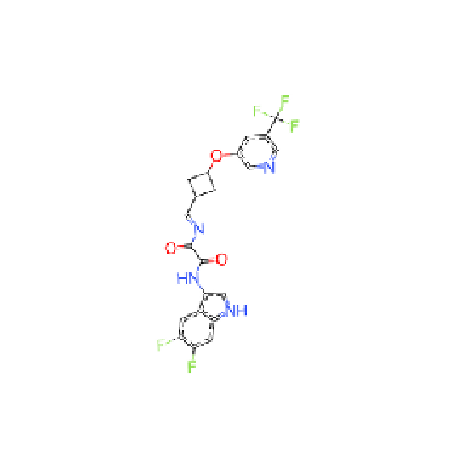 O=C(/N=C/C1CC(Oc2cncc(C(F)(F)F)c2)C1)C(=O)Nc1c[nH]c2cc(F)c(F)cc12